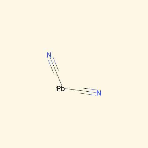 N#[C][Pb][C]#N